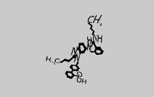 CCCCCCNC(=O)c1ccccc1CNc1ccc2nc(CCCC)n(Cc3ccc(-c4ccccc4C(=O)O)cc3)c2c1